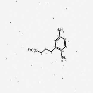 CCOC(=O)CCCc1cc(N)ccc1N